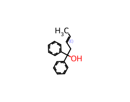 C/C=C/CC(O)(c1ccccc1)c1ccccc1